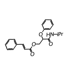 CC(C)NC(=O)C(COC(=O)C=Cc1ccccc1)Oc1ccccc1